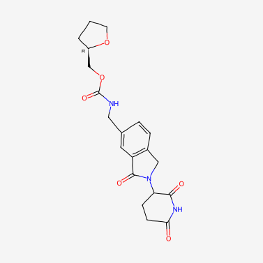 O=C1CCC(N2Cc3ccc(CNC(=O)OC[C@H]4CCCO4)cc3C2=O)C(=O)N1